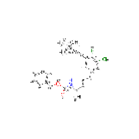 C[C@@H](CCCc1cc(Cl)c(F)c(C#C[Si](C)(C)C)c1)NC(=O)OCc1ccccc1